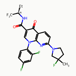 CC[C@@H](NC(=O)c1cn(-c2ccc(F)cc2F)c2nc(N3CCC(C)(F)C3)ccc2c1=O)C(F)(F)F